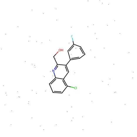 OCc1nc2cccc(Cl)c2cc1-c1cccc(F)c1